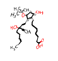 C#C[C@@](O)(C=C[C@@H]1[C@@H](CCCCCCC(=O)O)[C@@H](O)C[C@H]1O[Si](C)(C)C)CCCCC